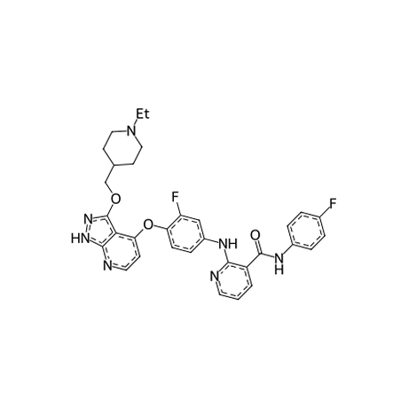 CCN1CCC(COc2n[nH]c3nccc(Oc4ccc(Nc5ncccc5C(=O)Nc5ccc(F)cc5)cc4F)c23)CC1